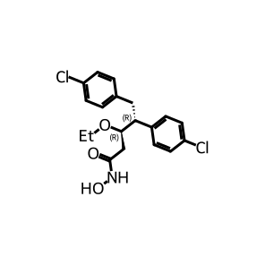 CCO[C@H](CC(=O)NO)[C@H](Cc1ccc(Cl)cc1)c1ccc(Cl)cc1